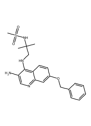 CC(C)(CNc1c(N)cnc2cc(OCc3ccccc3)ccc12)NS(C)(=O)=O